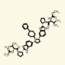 COC(=O)N[C@H](C(=O)N1CCC[C@H]1c1nc2cc([C@H]3CC[C@H](c4ccc5nc([C@@H]6CCCN6C(=O)[C@@H](OC(N)=O)C(C)C)[nH]c5c4)N3C3CCC(c4ccccc4)CC3)ccc2[nH]1)C(C)C